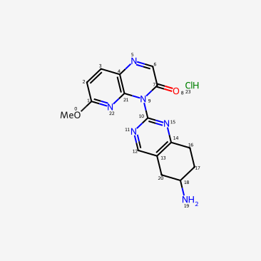 COc1ccc2ncc(=O)n(-c3ncc4c(n3)CCC(N)C4)c2n1.Cl